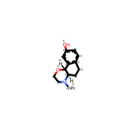 [11CH3]CCN1CCO[C@@H]2c3cc(O)ccc3CC[C@H]21